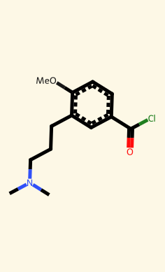 COc1ccc(C(=O)Cl)cc1CCCN(C)C